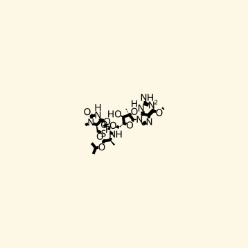 COc1nc(N)nc2c1ncn2[C@@H]1O[C@H](COP(=O)(N[C@@H](C)C(=O)OC(C)C)SC[C@@H]2C(=O)NC(=O)N2C)[C@@H](O)[C@@]1(C)O